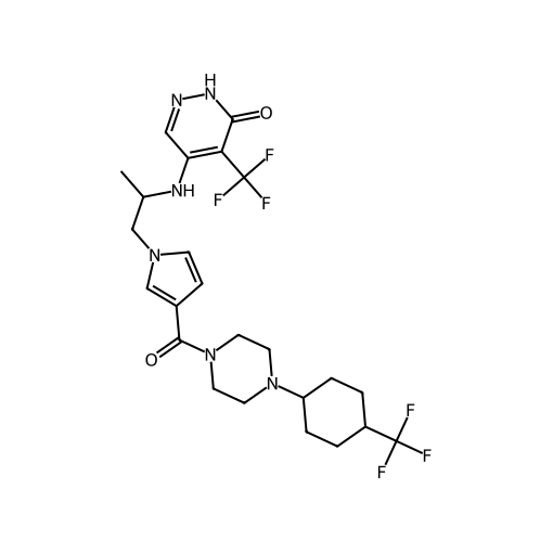 CC(Cn1ccc(C(=O)N2CCN(C3CCC(C(F)(F)F)CC3)CC2)c1)Nc1cn[nH]c(=O)c1C(F)(F)F